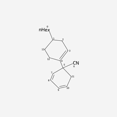 CCCCCCC1CC=C(C2(C#N)C=CC=CC2)CC1